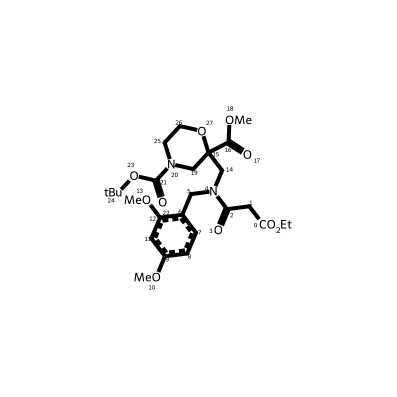 CCOC(=O)CC(=O)N(Cc1ccc(OC)cc1OC)CC1(C(=O)OC)CN(C(=O)OC(C)(C)C)CCO1